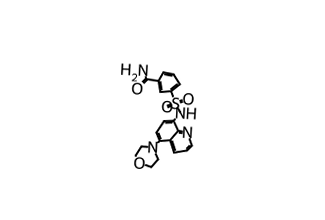 NC(=O)c1cccc(S(=O)(=O)Nc2ccc(N3CCOCC3)c3cccnc23)c1